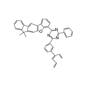 C=C/C=C(\C=C)c1cccc(-c2nc(-c3ccccc3)nc(-c3cccc4c3oc3cc5c(cc34)-c3ccccc3C5(C)C)n2)c1